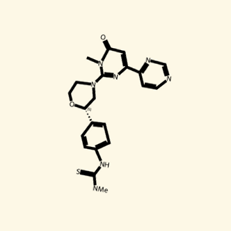 CNC(=S)Nc1ccc([C@H]2CN(c3nc(-c4ccncn4)cc(=O)n3C)CCO2)cc1